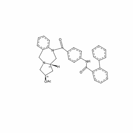 CC(=O)O[C@@H]1C[C@H]2CN(C(=O)c3ccc(NC(=O)c4ccccc4-c4ccccc4)cc3)c3ccccc3CN2C1